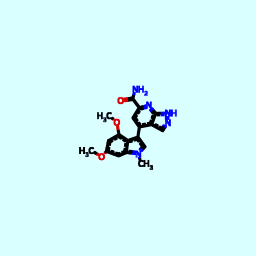 COc1cc(OC)c2c(-c3cc(C(N)=O)nc4[nH]ncc34)cn(C)c2c1